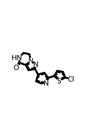 O=C1NCCn2nc(-c3ccnc(-c4ccc(Cl)s4)c3)cc21